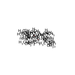 CCCCN(c1nc(NCCCN(C)CCN(CCCNc2nc(N(C)C3CC(C)(C)NC(C)(C)C3)nc(N(CCCC)C3CC(C)(C)NC(C)(C)C3)n2)c2nc(C)nc(N(C)C3CC(C)(C)NC(C)(C)C3)n2)nc(N(C)C2CC(C)(C)NC(C)(C)C2)n1)C1CC(C)(C)NC(C)(C)C1